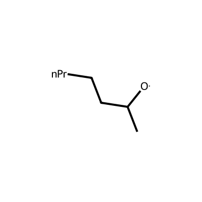 CCCCCC(C)[O]